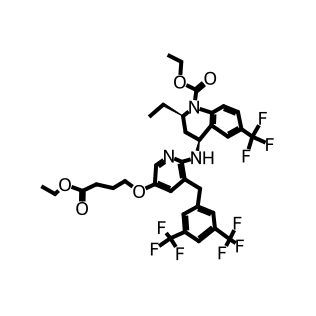 CCOC(=O)CCCOc1cnc(N[C@H]2C[C@@H](CC)N(C(=O)OCC)c3ccc(C(F)(F)F)cc32)c(Cc2cc(C(F)(F)F)cc(C(F)(F)F)c2)c1